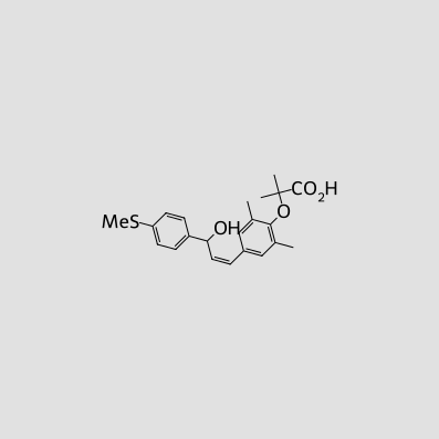 CSc1ccc(C(O)/C=C\c2cc(C)c(OC(C)(C)C(=O)O)c(C)c2)cc1